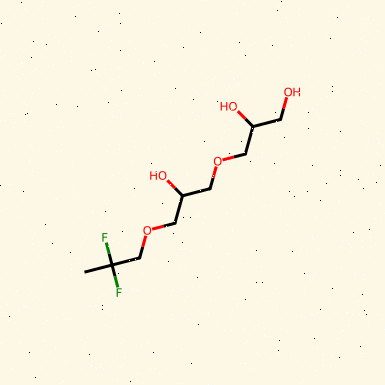 CC(F)(F)COCC(O)COCC(O)CO